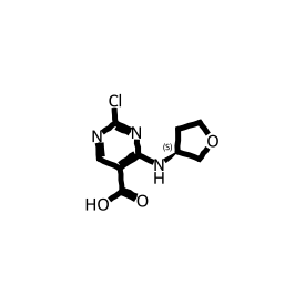 O=C(O)c1cnc(Cl)nc1N[C@H]1CCOC1